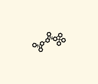 c1ccc(-n2c3ccccc3c3cc(-c4ccc5c(c4)c4ccccc4n5-c4ccc5c(c4)-c4ccccc4C5(c4ccccc4)c4ccccc4)ccc32)cc1